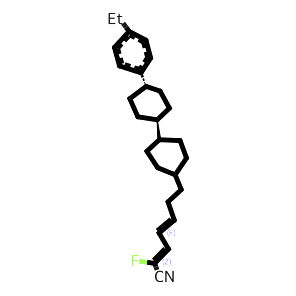 CCc1ccc([C@H]2CC[C@H](C3CCC(CC/C=C/C=C(\F)C#N)CC3)CC2)cc1